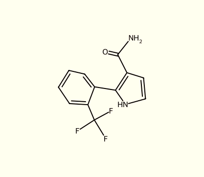 NC(=O)c1cc[nH]c1-c1ccccc1C(F)(F)F